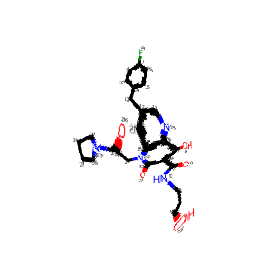 O=C(NCCO)c1c(O)c2ncc(Cc3ccc(F)cc3)cc2n(CC(=O)N2CCCC2)c1=O